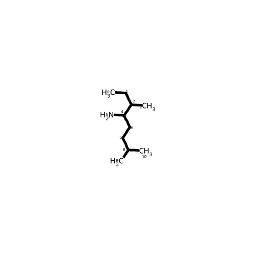 CCC(C)C(N)CCC(C)C